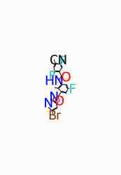 Cc1c(NC(=O)c2cc(F)c(C#N)cc2F)cc(F)cc1-c1nc2ncc(Br)cc2o1